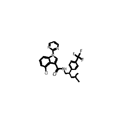 CC(C)CC(CNC(=O)c1cn(-c2ncccn2)c2cccc(Cl)c12)c1ccc(C(F)(F)F)cc1